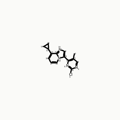 Cc1cnc(Cl)nc1-c1cnc2c(C3CC3)cccn12